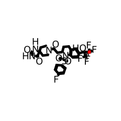 O=C1NC(=O)C2(CCN(C(=O)CC3CCc4cc(C(O)(C(F)(F)F)C(F)(F)F)ccc4N3S(=O)(=O)c3ccc(F)cc3)CC2)N1